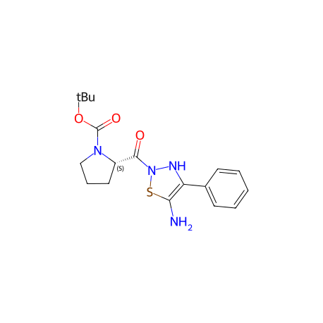 CC(C)(C)OC(=O)N1CCC[C@H]1C(=O)N1NC(c2ccccc2)=C(N)S1